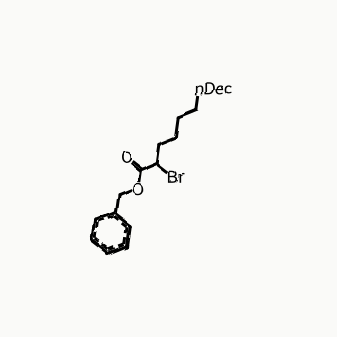 CCCCCCCCCCCCCCC(Br)C(=O)OCc1ccccc1